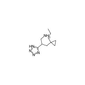 CCCC1(CC(CN)c2nnn[nH]2)CC1